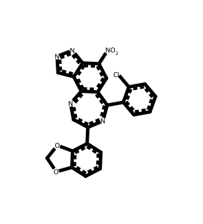 O=[N+]([O-])c1cc2c(-c3ccccc3Cl)nc(-c3cccc4c3OCO4)cnc2c2cnnc12